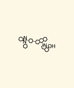 Oc1cccc2ccc(-c3c4ccccc4cc4cc(-c5ccc(-c6nc7ccccc7n6-c6ccccc6)cc5)ccc34)nc12